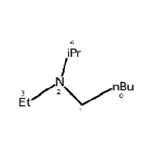 CCCCCN(CC)C(C)C